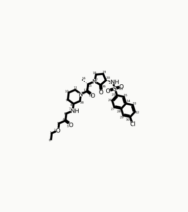 CCOCC(=O)CNC1CCCN(C(=O)[C@H](C)N2CC[C@H](NS(=O)(=O)c3ccc4cc(Cl)ccc4c3)C2=O)C1